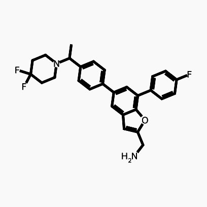 CC(c1ccc(-c2cc(-c3ccc(F)cc3)c3oc(CN)cc3c2)cc1)N1CCC(F)(F)CC1